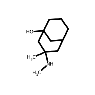 CNC1(C)CC2CCCC(O)(C2)C1